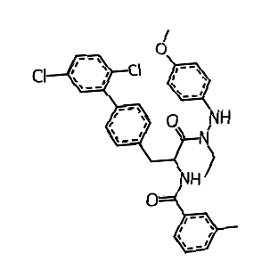 CCN(Nc1ccc(OC)cc1)C(=O)C(Cc1ccc(-c2cc(Cl)ccc2Cl)cc1)NC(=O)c1cccc(C)c1